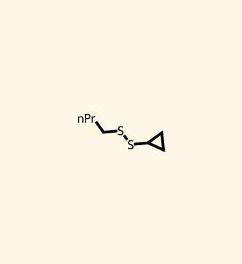 CCCCSSC1CC1